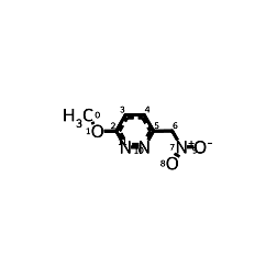 COc1ccc(C[N+](=O)[O-])nn1